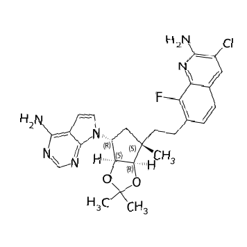 CC1(C)O[C@H]2[C@H](n3ccc4c(N)ncnc43)C[C@](C)(CCc3ccc4cc(Cl)c(N)nc4c3F)[C@H]2O1